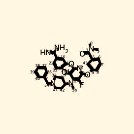 CN(C)C(=O)c1cccc(Oc2nc(Oc3cc(C(=N)N)ccc3O)c(F)c(N(C)C3CCN(Cc4ccccc4)CC3)c2F)c1